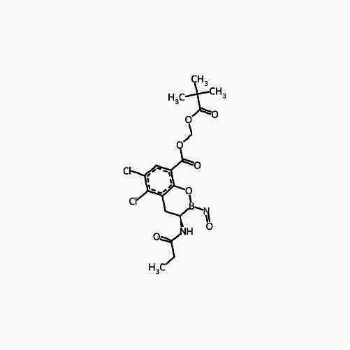 CCC(=O)N[C@H]1Cc2c(Cl)c(Cl)cc(C(=O)OCOC(=O)C(C)(C)C)c2OB1N=O